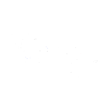 COc1ccccc1Oc1cccc(CNC(=O)C(/C=C\C(C)F)=C(/C)N)c1